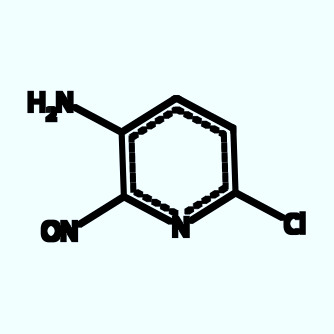 Nc1ccc(Cl)nc1N=O